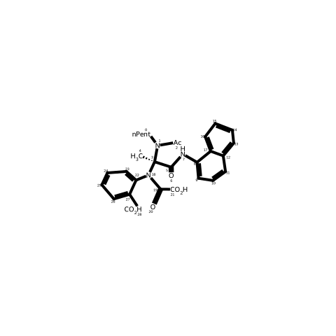 CCCCCN(C(C)=O)[C@@](C)(C(=O)Nc1cccc2ccccc12)N(C(=O)C(=O)O)c1ccccc1C(=O)O